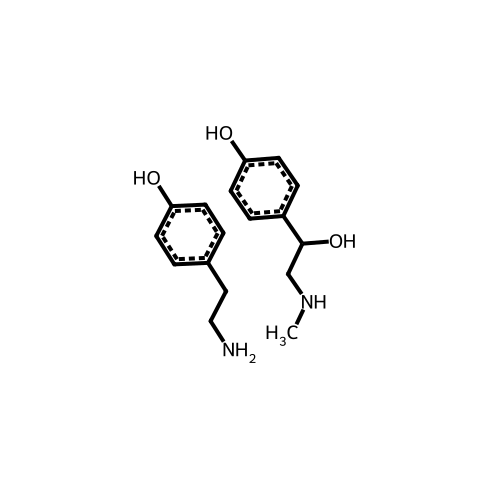 CNCC(O)c1ccc(O)cc1.NCCc1ccc(O)cc1